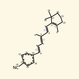 CC1=C(/C=C/C(C)=C/C=C/c2ccc(C#N)cc2)C(C)(C)CCC1